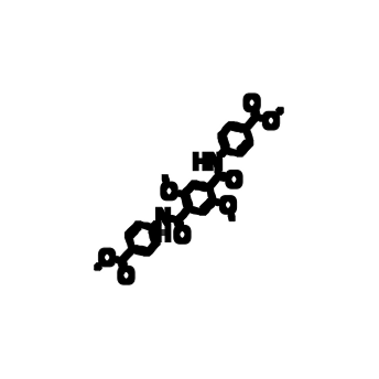 COC(=O)c1ccc(NC(=O)c2cc(OC)c(C(=O)Nc3ccc(C(=O)OC)cc3)cc2OC)cc1